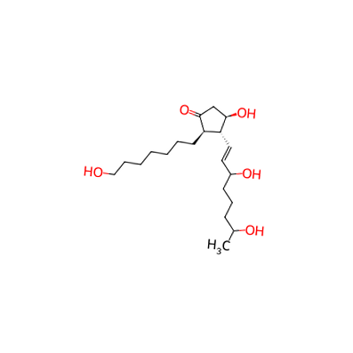 CC(O)CCCC(O)/C=C/[C@H]1[C@H](O)CC(=O)[C@@H]1CCCCCCCO